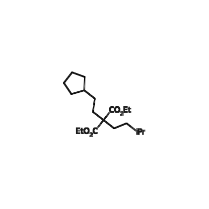 CCOC(=O)C(CCC(C)C)(CCC1CCCC1)C(=O)OCC